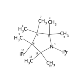 CC(C)N1C(C)(C)C(C)(C)C(C)(C(C)C)C1(C)C